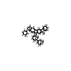 c1ccc(-n2ccc3cc4c5cc6c(cc5n(-c5cccc(-c7cccnc7)n5)c4cc32)sc2ccccc26)cc1